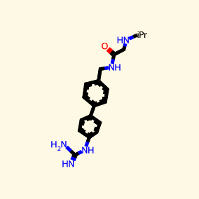 CC(C)NCC(=O)NCc1ccc(-c2ccc(NC(=N)N)cc2)cc1